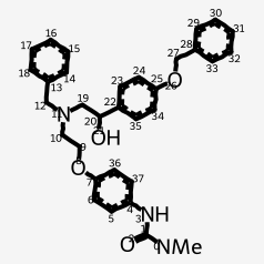 CNC(=O)Nc1ccc(OCCN(Cc2ccccc2)CC(O)c2ccc(OCc3ccccc3)cc2)cc1